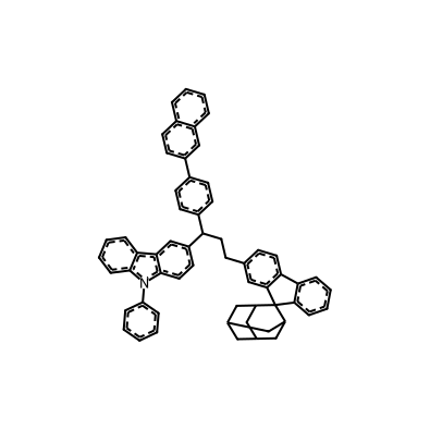 c1ccc(-n2c3ccccc3c3cc(C(CCc4ccc5c(c4)C4(c6ccccc6-5)C5CC6CC(C5)CC4C6)c4ccc(-c5ccc6ccccc6c5)cc4)ccc32)cc1